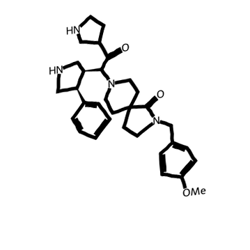 COc1ccc(CN2CCC3(CCN(C(C(=O)C4CCNC4)[C@@H]4CNC[C@@H]4c4ccccc4)CC3)C2=O)cc1